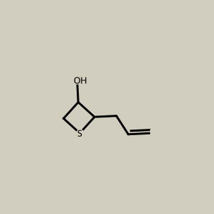 C=CCC1SCC1O